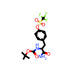 CC(C)(C)OC(=O)NC(Cc1ccc(OS(=O)(=O)C(F)(F)F)cc1)C(N)=O